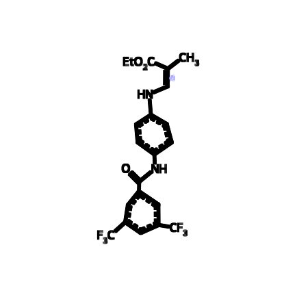 CCOC(=O)/C(C)=C\Nc1ccc(NC(=O)c2cc(C(F)(F)F)cc(C(F)(F)F)c2)cc1